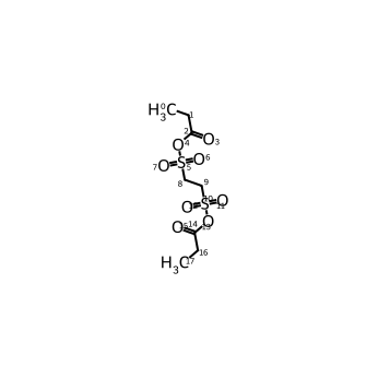 CCC(=O)OS(=O)(=O)CCS(=O)(=O)OC(=O)CC